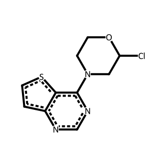 ClC1CN(c2ncnc3ccsc23)CCO1